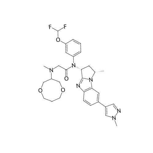 C[C@H]1C[C@@H](N(C(=O)CN(C)C2COCCCOC2)c2cccc(OC(F)F)c2)c2nc3ccc(-c4cnn(C)c4)cc3n21